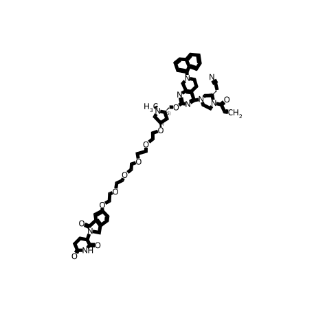 C=CC(=O)N1CCN(c2nc(OC[C@@H]3C[C@@H](OCCOCCOCCOCCOCCOc4ccc5c(c4)C(=O)N(C4CCC(=O)NC4=O)C5)CN3C)nc3c2CCN(c2cccc4ccccc24)C3)C[C@@H]1CC#N